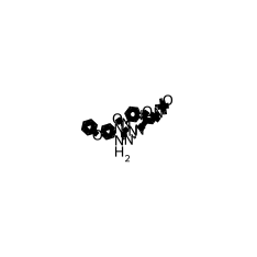 CC(C)(/C=C(/C#N)C(=O)N1CCC[C@H](n2c(=O)n(-c3ccc(Oc4ccccc4)cc3)c3c(N)ncnc32)C1)N1CC2(COC2)C1